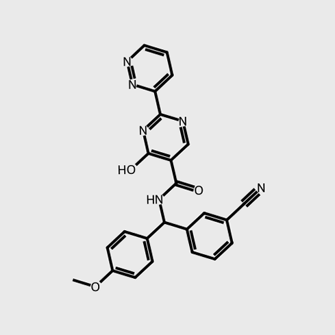 COc1ccc(C(NC(=O)c2cnc(-c3cccnn3)nc2O)c2cccc(C#N)c2)cc1